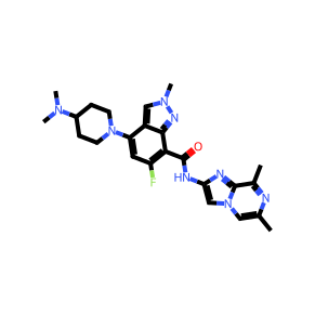 Cc1cn2cc(NC(=O)c3c(F)cc(N4CCC(N(C)C)CC4)c4cn(C)nc34)nc2c(C)n1